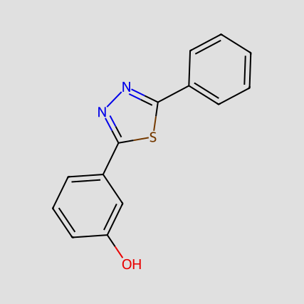 Oc1cccc(-c2nnc(-c3ccccc3)s2)c1